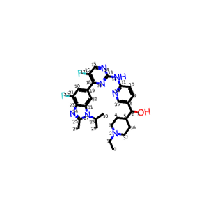 CCN1CCC(C(O)c2ccc(Nc3ncc(F)c(-c4cc(F)c5nc(C)n(C(C)C)c5c4)n3)nc2)CC1